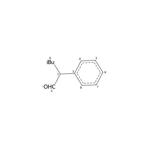 CCC(C)C([C]=O)c1ccccc1